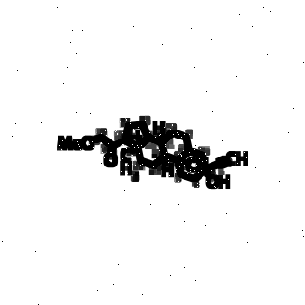 C#CC1(O)CC[C@@]2(C)C(CC[C@H]3[C@@H]4CC[C@H](C(=O)COC)[C@@]4(C)CC[C@@H]32)C1